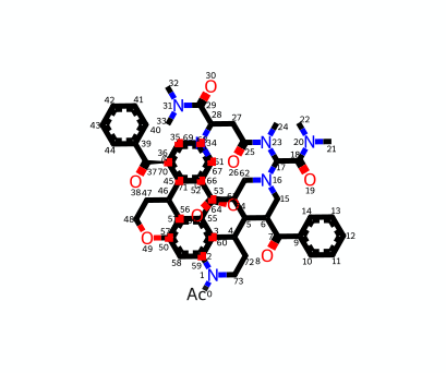 CC(=O)N1CCC(C2C(C(=O)c3ccccc3)CN(C(C(=O)N(C)C)N(C)C(=O)CC(C(=O)N(C)C)N3C[C@H](C(=O)c4ccccc4)C(C4CCOCC4)[C@H](C(=O)c4ccccc4)C3)CC2C(=O)c2ccccc2)CC1